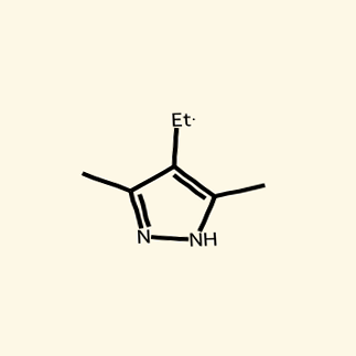 C[CH]c1c(C)n[nH]c1C